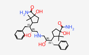 CC1(C)C([C@H](Cc2ccccc2)[C@@H](O)CNC[C@H](O)[C@@H](Cc2ccccc2)C2CCC(O)(C(N)=O)C2(C)C)CCC1(O)C(N)=O